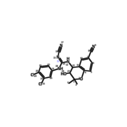 CC1(C)Oc2ccc(C#N)cc2C(N/C(=N\C#N)Nc2ccc(Cl)c(Cl)c2)C1O